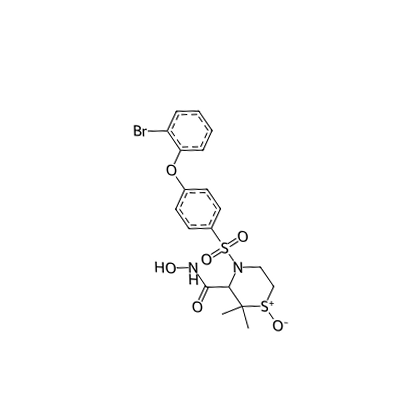 CC1(C)C(C(=O)NO)N(S(=O)(=O)c2ccc(Oc3ccccc3Br)cc2)CC[S+]1[O-]